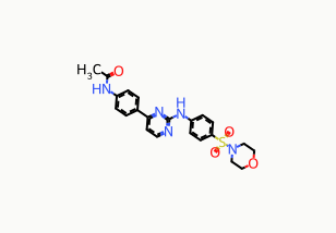 CC(=O)Nc1ccc(-c2ccnc(Nc3ccc(S(=O)(=O)N4CCOCC4)cc3)n2)cc1